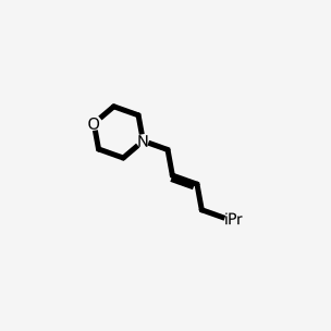 CC(C)C/C=C/CN1CCOCC1